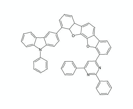 C1=CC2c3ccc4c(oc5c(-c6cc(-c7ccccc7)nc(-c7ccccc7)n6)cccc54)c3OC2C(c2ccc3c(c2)c2ccccc2n3-c2ccccc2)=C1